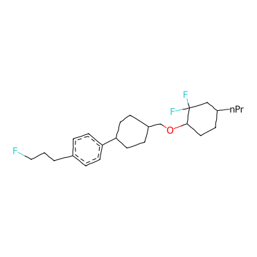 CCCC1CCC(OCC2CCC(c3ccc(CCCF)cc3)CC2)C(F)(F)C1